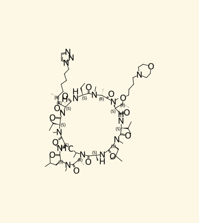 CC[C@@H]1NC(=O)[C@@H]2[C@@H]([C@H](C)CCCCCn3ccnn3)ON2C(=O)[C@H](C(C)C)N(C)C(=O)[C@@H]2CC(C)N(C(=O)[C@H](C)NC(=O)[C@H](CC(C)C)N(C)C(=O)[C@H](C(C)C)NC(=O)[C@H]([C@@H](C)OCCCCN3CCOCC3)N(C)C(=O)[C@@H](C)N(C)C1=O)[C@H](C)C(=O)N(C)[C@@H](CC(C)C)C(=O)N2C